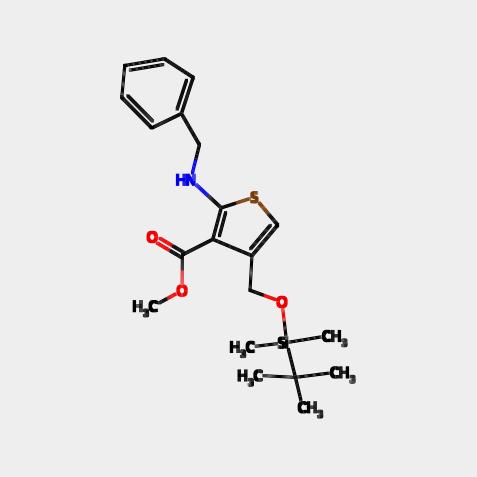 COC(=O)c1c(CO[Si](C)(C)C(C)(C)C)csc1NCc1ccccc1